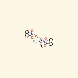 CC(C)N(CCCOCN1C(=O)c2cccc3cccc(c23)C1=O)CCN1C(=O)c2cccc3cccc(c23)C1=O